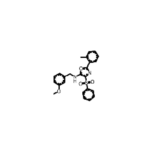 COc1cccc(CNc2oc(-c3ccccc3C)nc2S(=O)(=O)c2ccccc2)c1